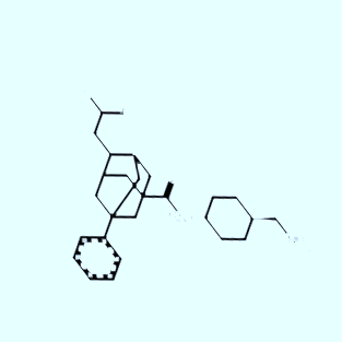 NC[C@H]1CC[C@H](NC(=S)C23CC4CC(c5ccccc5)(CC(C2)C4CC(F)F)C3)CC1